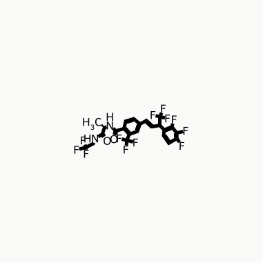 C[C@@H](NC(=O)c1ccc(/C=C/C(c2ccc(F)c(F)c2F)C(F)(F)F)cc1C(F)(F)F)C(=O)NCC(F)(F)F